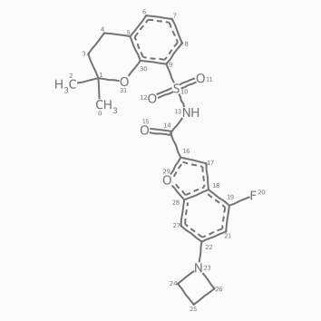 CC1(C)CCc2cccc(S(=O)(=O)NC(=O)c3cc4c(F)cc(N5CCC5)cc4o3)c2O1